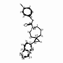 Cc1ccc(CC(=O)N2CCCC3(CC2)CC3c2ccc3nncn3n2)cc1